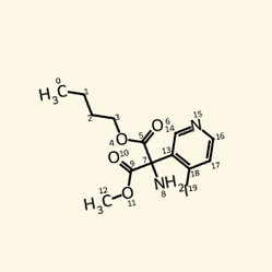 CCCCOC(=O)C(N)(C(=O)OC)c1cnccc1I